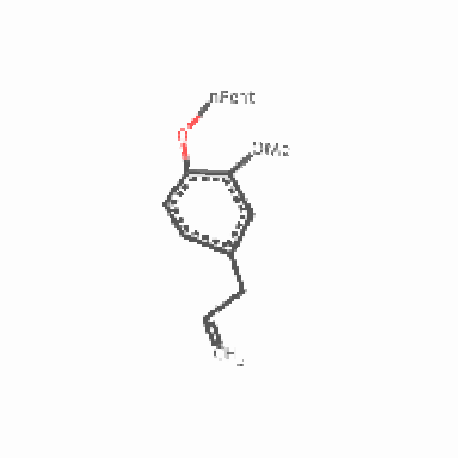 C=CCc1ccc(OCCCCC)c(OC)c1